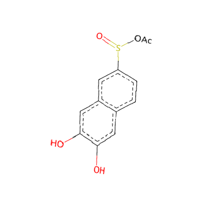 CC(=O)OS(=O)c1ccc2cc(O)c(O)cc2c1